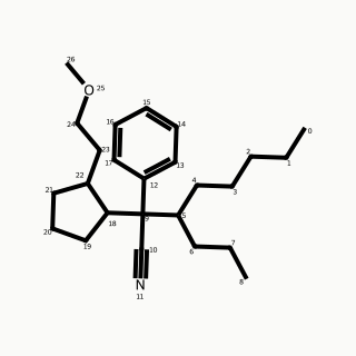 CCCCCC(CCC)C(C#N)(c1ccccc1)C1CCCC1CCOC